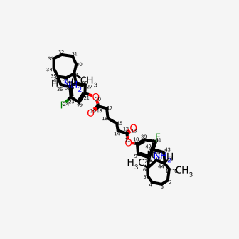 C[C@@H]1CCCC[C@]2(C)c3cc(OC(=O)CCCCC(=O)Oc4cc(F)c5c(c4)[C@@]4(C)CCCCC[C@@H](C5)[C@@H]4N)cc(F)c3C[C@H]1[C@@H]2N